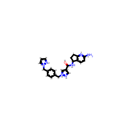 Nc1ccc2c(n1)CCC2NC(=O)c1cnn(Cc2ccc(Cn3cccn3)cc2)c1